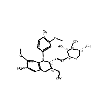 COc1cc(C2c3cc(OC)c(O)cc3C[C@H](CO)[C@H]2CO[C@@H]2OC[C@@H](O)[C@H](O)[C@H]2O)ccc1O